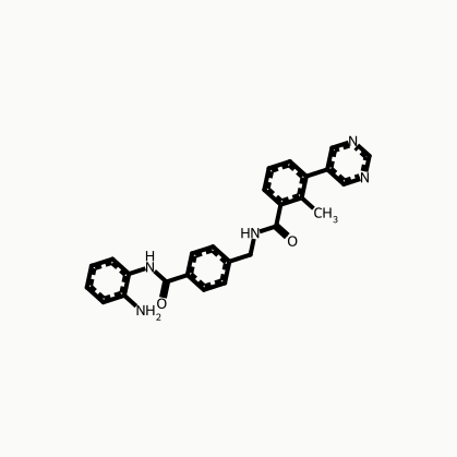 Cc1c(C(=O)NCc2ccc(C(=O)Nc3ccccc3N)cc2)cccc1-c1cncnc1